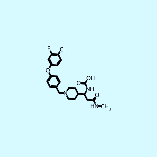 CNC(=O)CC(NC(=O)O)C1CCN(Cc2ccc(Oc3ccc(Cl)c(F)c3)cc2)CC1